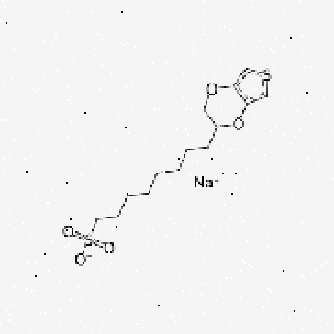 O=S(=O)([O-])CCCCCCCCC1COc2cscc2O1.[Na+]